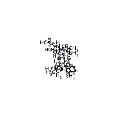 C/C(=C\C(C(C)C)N(C)C(=O)C(NC(=O)C(N(C)C(=O)OC(C)(C)C)C(C)(C)c1cn(C)c2ccccc12)C(C)(C)C)C(=O)NC(CCC(=O)O)C(=O)O